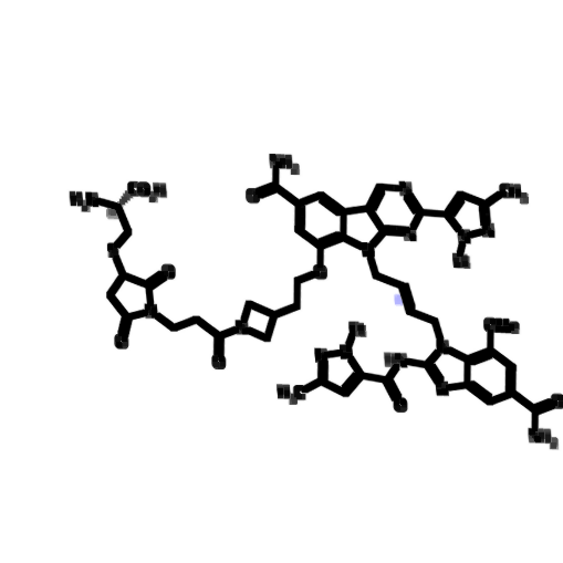 CCn1nc(C)cc1C(=O)Nc1nc2cc(C(N)=O)cc(OC)c2n1C/C=C/Cn1c2nc(-c3cc(C)nn3CC)ncc2c2cc(C(N)=O)cc(OCCC3CN(C(=O)CCN4C(=O)CC(SC[C@H](N)C(=O)O)C4=O)C3)c21